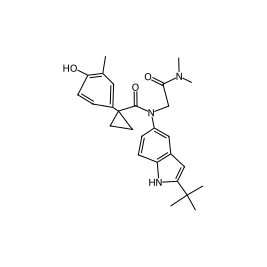 Cc1cc(C2(C(=O)N(CC(=O)N(C)C)c3ccc4[nH]c(C(C)(C)C)cc4c3)CC2)ccc1O